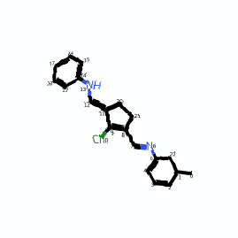 CC1C=CC=C(/N=C/C2=C(Cl)C(=C/Nc3ccccc3)/CC2)C1